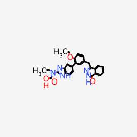 CCOc1ccc(Cc2n[nH]c(=O)c3ccccc23)cc1-c1ccc2[nH]c(N(CC)C(=O)O)nc2c1